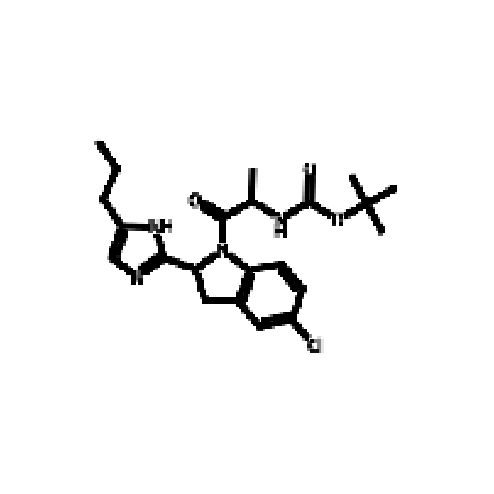 CCCc1cnc(C2Cc3cc(Cl)ccc3N2C(=O)C(C)NC(=O)OC(C)(C)C)[nH]1